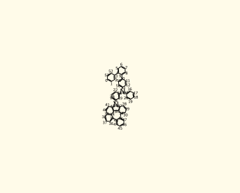 c1ccc(-c2ccccc2-c2ccc(N(c3ccccc3)c3cccc(-n4c5cccc6c5c5c7c(cccc7ccc54)-c4ccccc4-6)c3)cc2)cc1